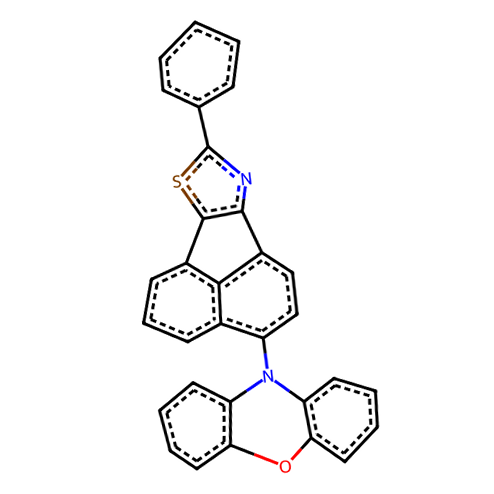 c1ccc(-c2nc3c(s2)-c2cccc4c(N5c6ccccc6Oc6ccccc65)ccc-3c24)cc1